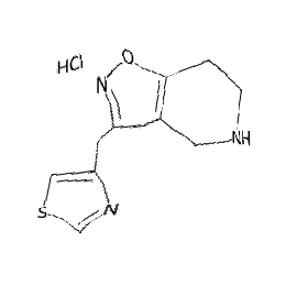 Cl.c1nc(-c2noc3c2CNCC3)cs1